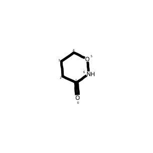 O=C1CCCON1